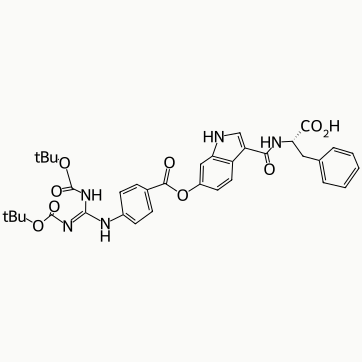 CC(C)(C)OC(=O)/N=C(\NC(=O)OC(C)(C)C)Nc1ccc(C(=O)Oc2ccc3c(C(=O)N[C@@H](Cc4ccccc4)C(=O)O)c[nH]c3c2)cc1